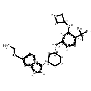 CCOc1ccn2c([C@H]3CCC[C@@H](Nc4ncc(C(F)(F)F)c(OC5COC5)n4)C3)nnc2c1